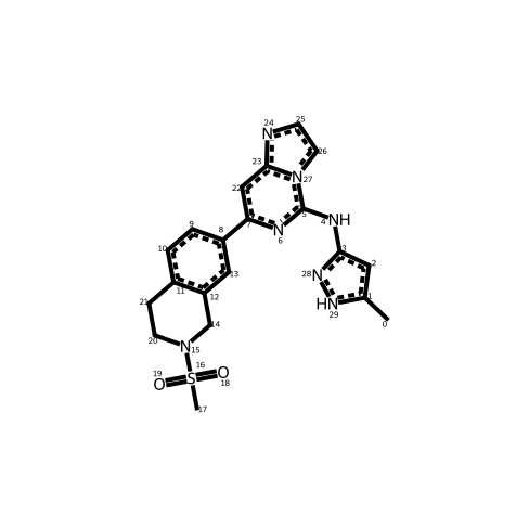 Cc1cc(Nc2nc(-c3ccc4c(c3)CN(S(C)(=O)=O)CC4)cc3nccn23)n[nH]1